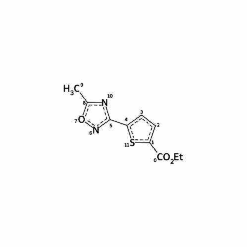 CCOC(=O)c1ccc(-c2noc(C)n2)s1